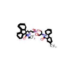 O=C(NC1COP(=O)(CCCCC2(C(=O)NCC(F)(F)F)c3ccccc3-c3ccccc32)OC1)c1cc(C(F)(F)F)ccc1-c1ccccc1